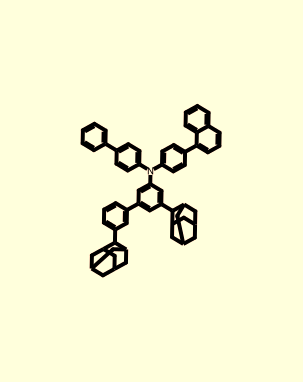 c1ccc(-c2ccc(N(c3ccc(-c4cccc5ccccc45)cc3)c3cc(-c4cccc(C5C6CC7CC(C6)CC5C7)c4)cc(C4C5CC6CC(C5)CC4C6)c3)cc2)cc1